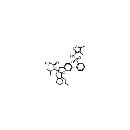 CCCCC(=O)[N+](Cc1ccc(-c2ccccc2S(=O)(=O)Nc2noc(C)c2C)cc1)(CC1CCCO1)[C@H](C(N)=O)C(C)C